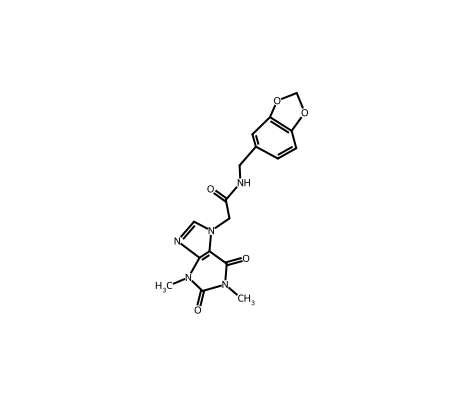 Cn1c(=O)c2c(ncn2CC(=O)NCc2ccc3c(c2)OCO3)n(C)c1=O